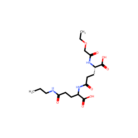 CCCNC(=O)CCC(NC(=O)CC[C@H](NC(=O)COCC)C(=O)O)C(=O)O